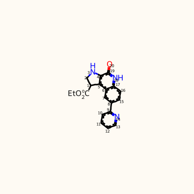 CCOC(=O)C1CNc2c1c1cc(-c3ccccn3)ccc1[nH]c2=O